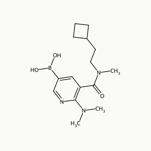 CN(CCC1CCC1)C(=O)c1cc(B(O)O)cnc1N(C)C